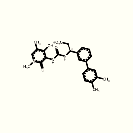 Cc1ccc(-c2cccc([C@H](CC(=O)O)NC(=O)Nc3c(O)c(C)cn(C)c3=O)c2)cc1C